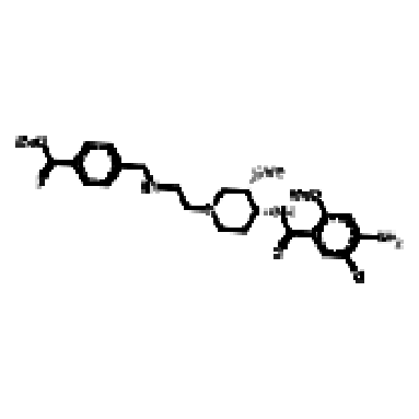 COC(=O)c1ccc(CNCCN2CC[C@@H](NC(=O)c3cc(Cl)c(N)cc3OC)[C@@H](OC)C2)cc1